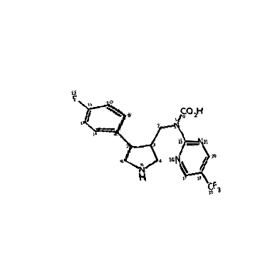 O=C(O)N(CC1CNCC1c1ccc(F)cc1)c1ncc(C(F)(F)F)cn1